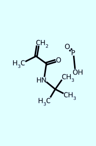 C=C(C)C(=O)NC(C)(C)C.O=PO